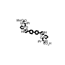 COC(=O)N[C@@H](C(=O)N1[C@@H](C)CC[C@H]1c1nc(-c2ccc(-c3ccc(-c4c[nH]c([C@@H]5CC[C@H](C)N5C(=O)[C@H](NC(=O)O)C(C)C)n4)cc3)cc2)c[nH]1)C(C)C